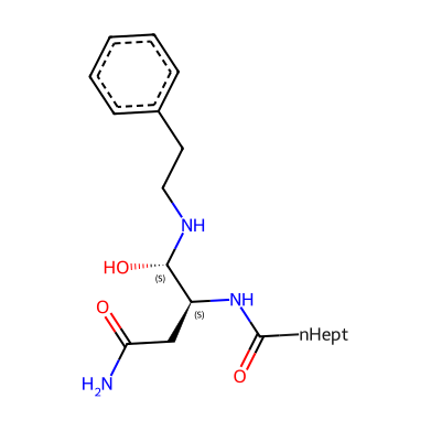 CCCCCCCC(=O)N[C@@H](CC(N)=O)[C@H](O)NCCc1ccccc1